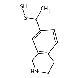 CC(SS)c1ccc2c(c1)CNCC2